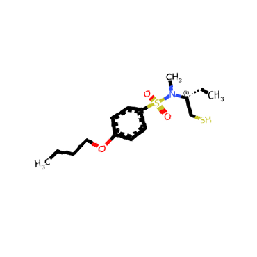 CCCCOc1ccc(S(=O)(=O)N(C)[C@H](CC)CS)cc1